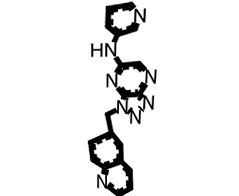 c1cncc(Nc2cnc3nnn(Cc4ccc5ncccc5c4)c3n2)c1